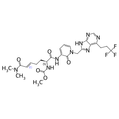 COC(=O)N[C@@H](CC/C=C/C(=O)N(C)C)C(=O)Nc1cccn(Cc2nc3c(CCC(F)(F)F)ncnc3[nH]2)c1=O